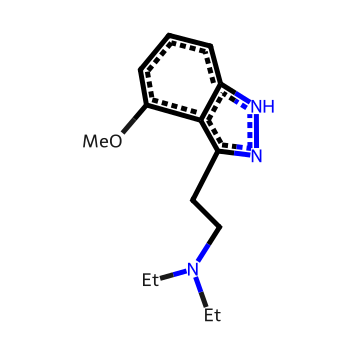 CCN(CC)CCc1n[nH]c2cccc(OC)c12